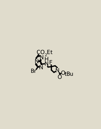 CCOC(=O)c1cn2cc(Br)nc(NCC3(F)CCN(C(=O)OC(C)(C)C)CC3)c2n1